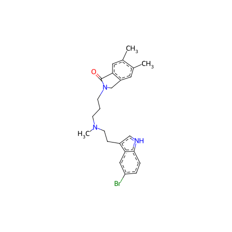 Cc1cc2c(cc1C)C(=O)N(CCCN(C)CCc1c[nH]c3ccc(Br)cc13)C2